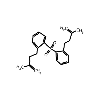 C=C(C)CCc1ccccc1S(=O)(=O)c1ccccc1CCC(=C)C